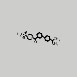 CC(C)c1ccc(-c2cccc(C(=O)N3CCN(S(C)(=O)=O)CC3)c2)cc1